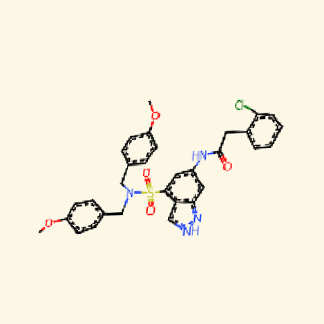 COc1ccc(CN(Cc2ccc(OC)cc2)S(=O)(=O)c2cc(NC(=O)Cc3ccccc3Cl)cc3n[nH]cc23)cc1